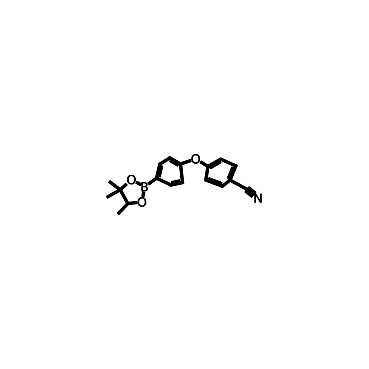 CC1OB(c2ccc(Oc3ccc(C#N)cc3)cc2)OC1(C)C